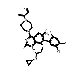 C=CC(=O)N1CCN(c2nc(=O)n3c4c(c(-c5cc(Cl)c(F)cc5F)c(C)cc24)SCC(OC2CC2)C3)CC1